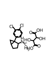 CNC1CCC2CC21c1ccc(Cl)c(Cl)c1.O=C(O)C(O)C(O)C(=O)O